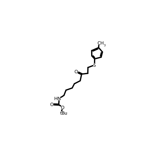 Cc1ccc(SCCC(=O)CCCCCNC(=O)OC(C)(C)C)cc1